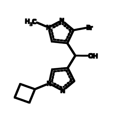 Cn1cc(C(O)c2cnn(C3CCC3)c2)c(Br)n1